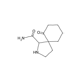 NC(=O)C1NCCC12C[CH]CCC2=O